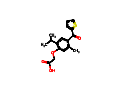 Cc1cc(OCC(=O)O)c(C(C)C)cc1C(=O)c1cccs1